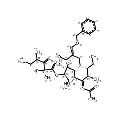 CCC[C@@H](C)/C(=N\C(C)=O)[C@H](C)[C@@H](CC/C(CO)=N\OCc1ccccc1)[C@](C)(O)[C@@H](CC)OC(=O)[C@@](C)(F)C(=O)[C@H](C)CC